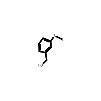 OCc1cccc(SI)c1